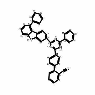 N#Cc1ccccc1-c1ccc(-c2nc(-c3ccccc3)nc(-c3ccc4c(c3)sc3cccc(-c5ccccc5)c34)n2)cc1